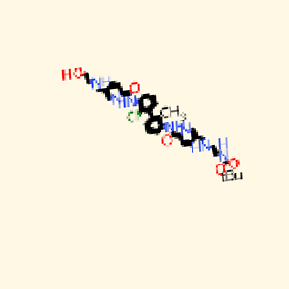 Cc1c(NC(=O)c2ccc(CNCCNC(=O)OC(C)(C)C)cn2)cccc1-c1cccc(NC(=O)c2ccc(CNCCO)cn2)c1Cl